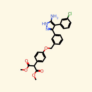 COC(=O)C(C(=O)OC)c1ccc(OCc2cccc(-c3n[nH]c(N)c3-c3cccc(Cl)c3)c2)cc1